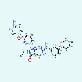 CCn1c(=O)c2cnc(Nc3cccc(-c4ccccc4)c3)nc2n1-c1cccc(OC2CCNCC2)n1